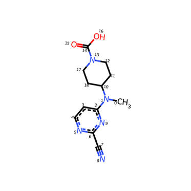 CN(c1ccnc(C#N)n1)C1CCN(C(=O)O)CC1